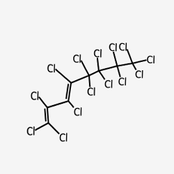 ClC(Cl)=C(Cl)C(Cl)=C(Cl)C(Cl)(Cl)C(Cl)(Cl)C(Cl)(Cl)C(Cl)(Cl)Cl